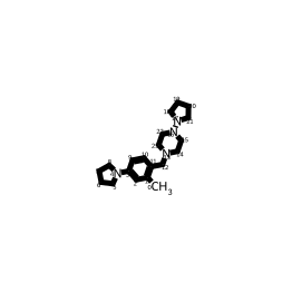 Cc1cc(N2CCCC2)ccc1CN1CCN(N2CCCC2)CC1